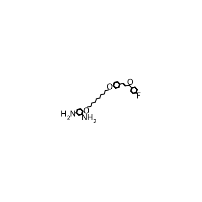 Nc1ccc(OCCCCCCCCCCOc2ccc(C=CC(=O)c3ccc(F)cc3)cc2)c(N)c1